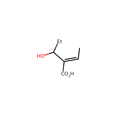 CC=C(C(=O)O)C(O)CC